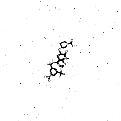 C[C@@H](Nc1ncnc2c1cc(O[C@H]1CCN(C(=O)O)C1)c(=O)n2C)c1cc([N+](=O)[O-])cc(C(F)(F)F)c1